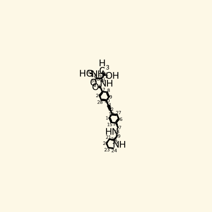 C[C@@H](O)[C@H](NC(=O)c1ccc(C#Cc2ccc(CNCC3CCCCN3)cc2)cc1)C(=O)NO